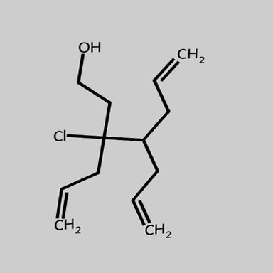 C=CCC(CC=C)C(Cl)(CC=C)CCO